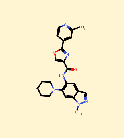 Cc1cc(-c2nc(C(=O)Nc3cc4cnn(C)c4cc3N3CC[CH]CC3)co2)ccn1